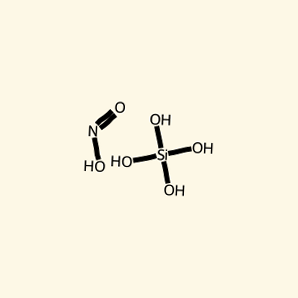 O=NO.O[Si](O)(O)O